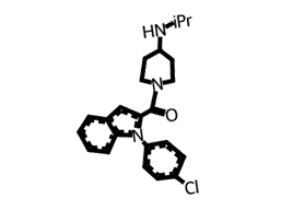 CC(C)NC1CCN(C(=O)c2cc3ccccc3n2-c2ccc(Cl)cc2)CC1